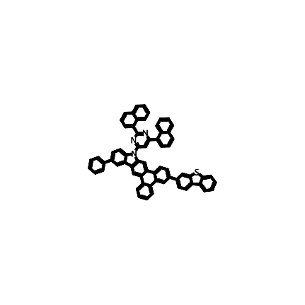 c1ccc(-c2ccc3c(c2)c2cc4c5ccccc5c5cc(-c6ccc7c(c6)sc6ccccc67)ccc5c4cc2n3-c2cc(-c3cccc4ccccc34)nc(-c3cccc4ccccc34)n2)cc1